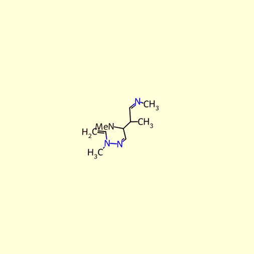 C=CN(C)/N=C\C(NC)C(C)/C=N\C